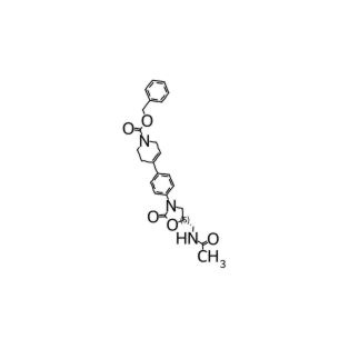 CC(=O)NC[C@H]1CN(c2ccc(C3=CCN(C(=O)OCc4ccccc4)CC3)cc2)C(=O)O1